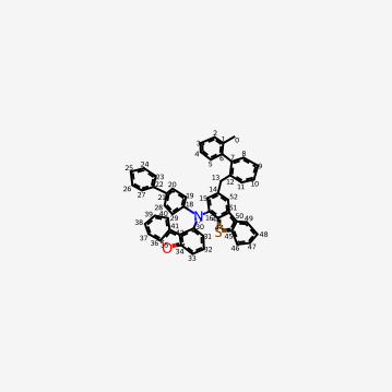 Cc1ccccc1-c1ccccc1Cc1cc(N(c2ccc(-c3ccccc3)cc2)c2cccc3oc4ccccc4c23)c2sc3ccccc3c2c1